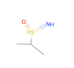 CC(C)[SH](=N)=O